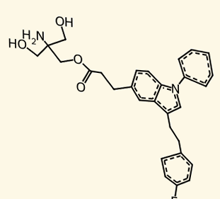 NC(CO)(CO)COC(=O)CCc1ccc2c(c1)c(CCc1ccc(F)cc1)cn2-c1ccccc1